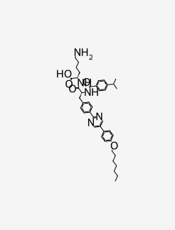 CCCCCCCOc1ccc(-c2cnc(-c3ccc(C[C@H](NC(=O)c4ccc(C(C)C)cc4)C(=O)N[C@H](CCCCN)C(=O)O)cc3)nc2)cc1